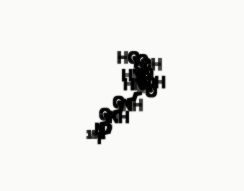 O=C(O)C[C@H](NC(=O)N[C@@H](CCCCNC(=O)CCNC(=O)c1ccc([18F])nc1)C(=O)O)C(=O)O